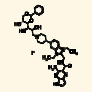 CCn1c(CNC(=O)c2nc3cc[nH]c3nc2N)[n+](CC)c2ccc(C3CCN(C[C@H](O)[C@@H](O)[C@@H]4OC(c5ccccc5)OC[C@H]4O)CC3)cc21.[I-]